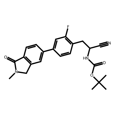 CN1Cc2cc(-c3ccc(CC(C#N)NC(=O)OC(C)(C)C)c(F)c3)ccc2C1=O